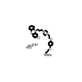 CNCCCOc1ccc(OCCN2CCN(CCCN3c4ccccc4Sc4ccc(Cl)cc43)CC2)cc1.Cl.Cl.Cl